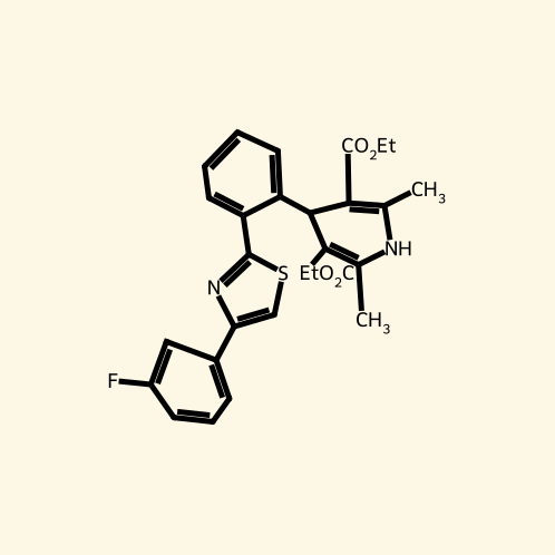 CCOC(=O)C1=C(C)NC(C)=C(C(=O)OCC)C1c1ccccc1-c1nc(-c2cccc(F)c2)cs1